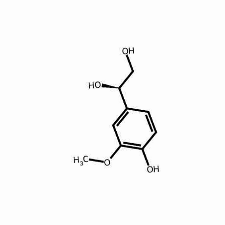 COc1cc([C@@H](O)CO)ccc1O